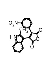 Cc1[nH]c2ccccc2c1C1=C(c2cccc([N+](=O)[O-])c2)C(=O)OC1=O